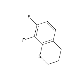 Fc1ccc2c(c1F)SCCC2